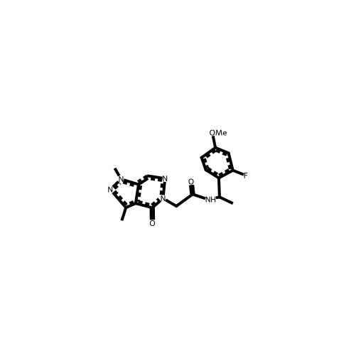 COc1ccc(C(C)NC(=O)Cn2ncc3c(c(C)nn3C)c2=O)c(F)c1